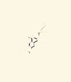 CC(C)Oc1ccc2c(Cl)nc(OC(=O)NCCN)c(O)c2c1